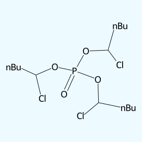 CCCCC(Cl)OP(=O)(OC(Cl)CCCC)OC(Cl)CCCC